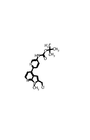 Cn1c(CCl)cc2c(-c3ccc(NC(=O)OC(C)(C)C)cn3)ccnc21